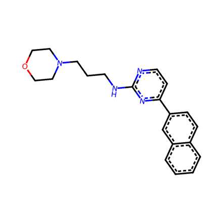 c1ccc2cc(-c3ccnc(NCCCN4CCOCC4)n3)ccc2c1